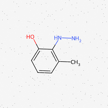 Cc1cccc(O)c1NN